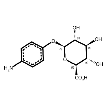 Nc1ccc(O[C@@H]2O[C@H](C(=O)O)[C@@H](O)[C@H](O)[C@H]2O)cc1